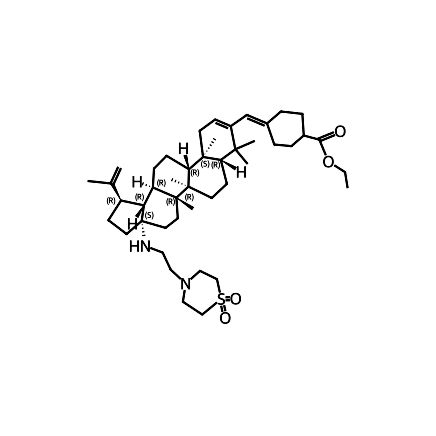 C=C(C)[C@@H]1CC[C@]2(NCCN3CCS(=O)(=O)CC3)CC[C@]3(C)[C@H](CC[C@@H]4[C@@]5(C)CC=C(C=C6CCC(C(=O)OCC)CC6)C(C)(C)[C@@H]5CC[C@]43C)[C@@H]12